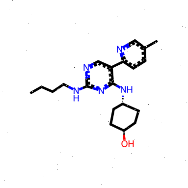 CCCCNc1ncc(-c2ccc(C)cn2)c(N[C@H]2CC[C@H](O)CC2)n1